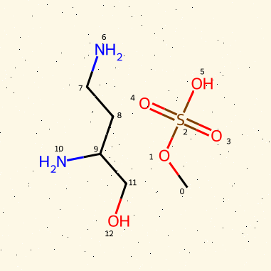 COS(=O)(=O)O.NCCC(N)CO